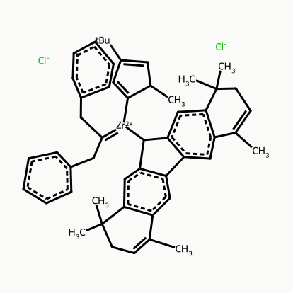 CC1=CCC(C)(C)c2cc3c(cc21)-c1cc2c(cc1[CH]3[Zr+2]([C]1=CC(C(C)(C)C)=CC1C)=[C](Cc1ccccc1)Cc1ccccc1)C(C)(C)CC=C2C.[Cl-].[Cl-]